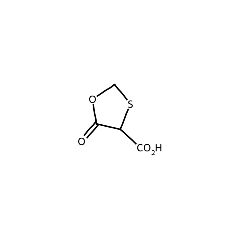 O=C(O)C1SCOC1=O